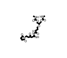 CNC(=O)OCC(COC(=O)NC)OCCCC(=O)NC(=N)CC(=O)CCN1C(=O)C=CC1=O